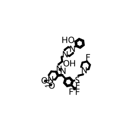 CS(=O)(=O)N1CCc2c(c(-c3ccc(C(F)(F)F)c(SCCN4CCC(F)CC4)c3)nn2C[C@H](O)CN2CCN(c3ccccc3O)CC2)C1